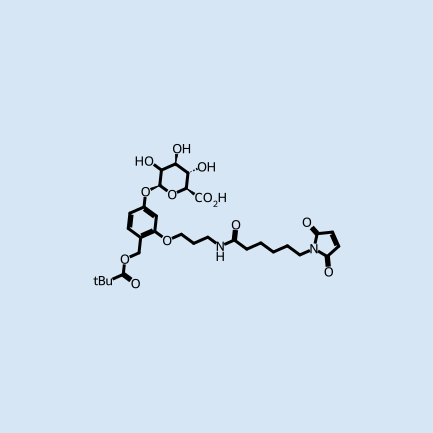 CC(C)(C)C(=O)OCc1ccc(O[C@@H]2O[C@H](C(=O)O)[C@@H](O)[C@H](O)C2O)cc1OCCCNC(=O)CCCCCN1C(=O)C=CC1=O